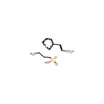 CCCCS(=O)(=O)O.O=C(O)C=Cc1ccccc1